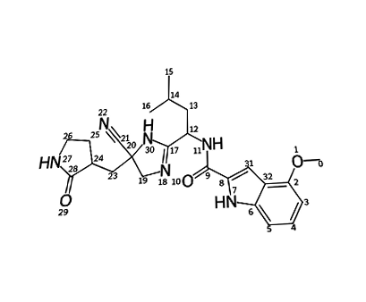 COc1cccc2[nH]c(C(=O)NC(CC(C)C)C3=NCC(C#N)(CC4CCNC4=O)N3)cc12